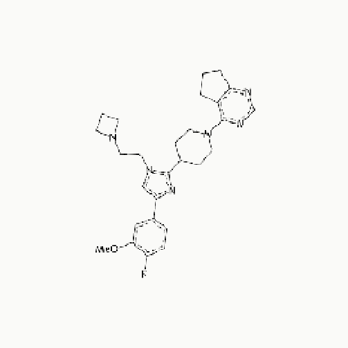 COc1cc(-c2cn(CCN3CCC3)c(C3CCN(c4ncnc5c4CCC5)CC3)n2)ccc1F